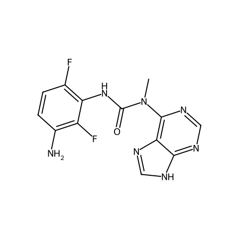 CN(C(=O)Nc1c(F)ccc(N)c1F)c1ncnc2[nH]cnc12